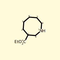 CCOC(=O)C1CCCCCNC1